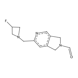 O=CN1Cc2cnc(CN3CC(F)C3)cc2C1